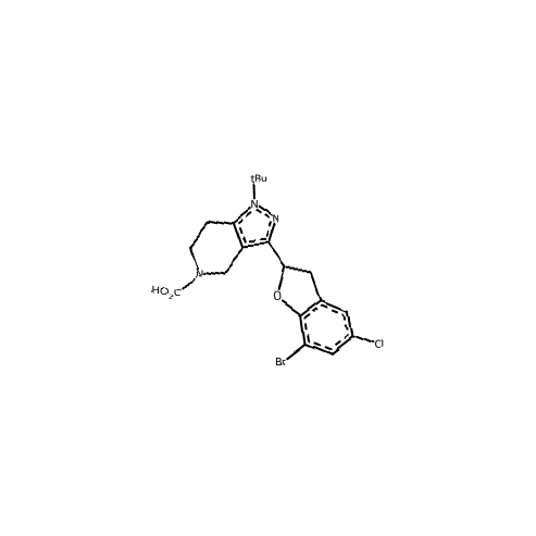 CC(C)(C)n1nc(C2Cc3cc(Cl)cc(Br)c3O2)c2c1CCN(C(=O)O)C2